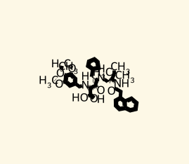 COc1cc(CN[C@@H](C(=O)O)[C@H](O)[C@H](Cc2ccccc2)NC[C@H](NC(=O)Cc2cccc3ccccc23)C(C)(C)C)cc(OC)c1OC